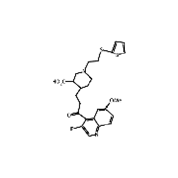 COc1ccc2ncc(F)c(C(=O)CCC3CCN(CCSc4cccs4)CC3C(=O)O)c2c1